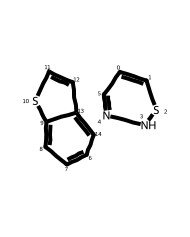 C1=CSNN=C1.c1ccc2sccc2c1